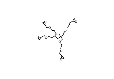 C(COCC(COCCOCC1CO1)(COCCOCC1CO1)COCCOCC1CO1)OCC1CO1